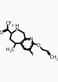 C=CCOc1nc2c(cc1I)C(C)CC(C(=O)C(F)(F)F)NC2